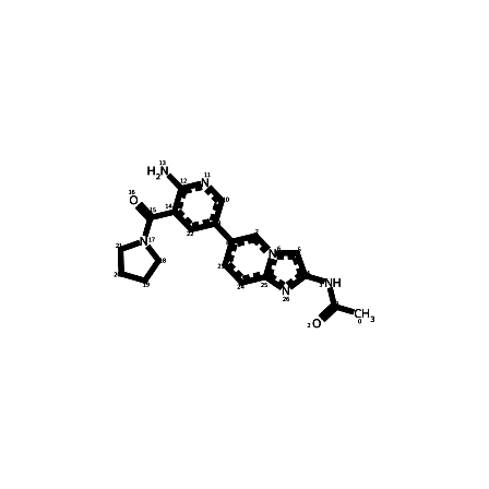 CC(=O)Nc1cn2cc(-c3cnc(N)c(C(=O)N4CCCC4)c3)ccc2n1